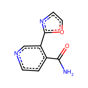 NC(=O)c1ccncc1-c1ncco1